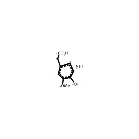 COc1cc(CC(=O)O)ccc1O.[NaH]